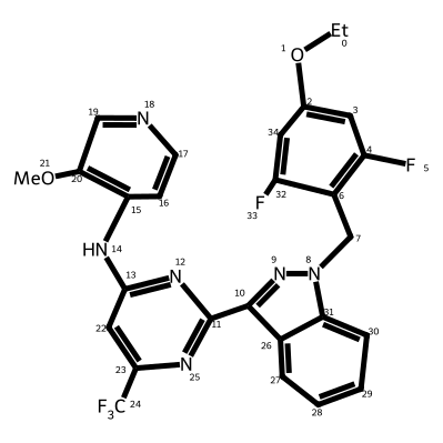 CCOc1cc(F)c(Cn2nc(-c3nc(Nc4ccncc4OC)cc(C(F)(F)F)n3)c3ccccc32)c(F)c1